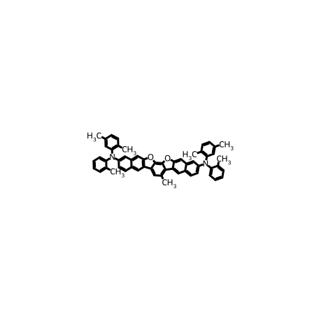 Cc1ccc(C)c(N(c2ccc3cc4c(cc3c2)oc2c4cc(C)c3c4cc5ccc(N(c6ccccc6C)c6cc(C)ccc6C)cc5cc4oc23)c2ccccc2C)c1